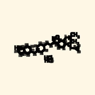 CN(C)Cc1c(OCC2CC2)ccc2c(CCC3CCN(Cc4ccc5[nH]ccc5c4)CC3)noc12.Cl.Cl